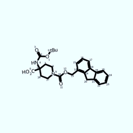 CC(C)(C)OC(=O)NC1(C(=O)O)CCN(C(=O)OCc2cccc3c2Cc2ccccc2-3)CC1